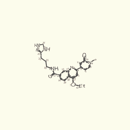 CCOc1cc(-c2ccn(C)c(=O)c2)nc2cc(C(=O)NCCCC3=NNCN3)ccc12